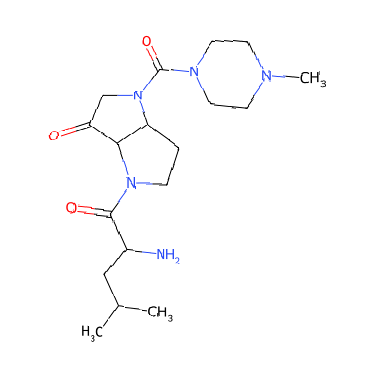 CC(C)CC(N)C(=O)N1CCC2C1C(=O)CN2C(=O)N1CCN(C)CC1